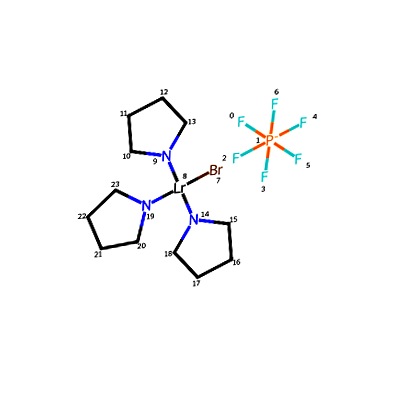 F[P-](F)(F)(F)(F)F.[Br][Lr]([N]1CCCC1)([N]1CCCC1)[N]1CCCC1